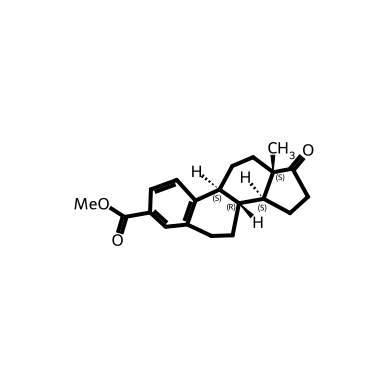 COC(=O)c1ccc2c(c1)CC[C@@H]1[C@@H]2CC[C@]2(C)C(=O)CC[C@@H]12